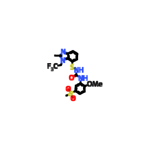 COc1ccc(S(C)(=O)=O)cc1NC(=O)NSc1cccc2nc(C)n(CC(F)(F)F)c12